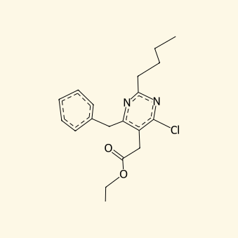 CCCCc1nc(Cl)c(CC(=O)OCC)c(Cc2ccccc2)n1